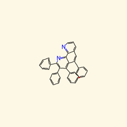 c1ccc(-c2nc3c(c(-c4ccccc4)cc4cccnc43)c(-c3ccccc3)c2-c2ccccc2)cc1